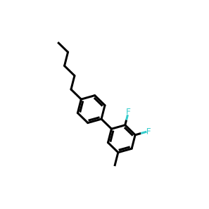 CCCCCc1ccc(-c2cc(C)cc(F)c2F)cc1